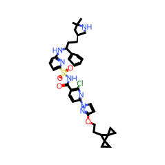 CC1(C)C[C@H](CCC(Nc2cccc(S(=O)(=O)NC(=O)c3ccc(-n4ccc(OCCC5C6(CC6)C56CC6)n4)nc3Cl)n2)c2ccccc2)CN1